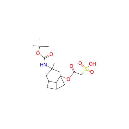 CC1(NC(=O)OC(C)(C)C)CC2CC3CC(OC(=O)CS(=O)(=O)O)(C1)C23